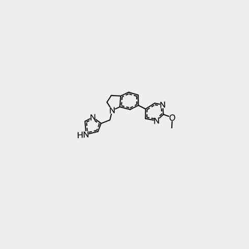 COc1ncc(-c2ccc3c(c2)N(Cc2c[nH]cn2)CC3)cn1